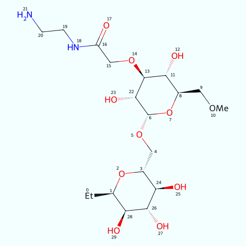 CC[C@H]1O[C@H](CO[C@H]2O[C@H](COC)[C@@H](O)[C@H](OCC(=O)NCCN)[C@H]2O)[C@@H](O)[C@H](O)[C@H]1O